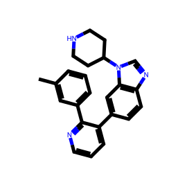 Cc1cccc(-c2ncccc2-c2ccc3ncn(C4CCNCC4)c3c2)c1